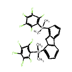 C[Si](C)(c1cccc2c1Cc1c-2cccc1[Si](C)(C)c1c(F)c(F)c(F)c(F)c1F)c1c(F)c(F)c(F)c(F)c1F